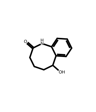 O=C1CCCC(O)c2ccccc2N1